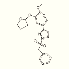 COc1ccc(-c2ccn(S(=O)(=O)Cc3ccccc3)n2)cc1OC1CCCO1